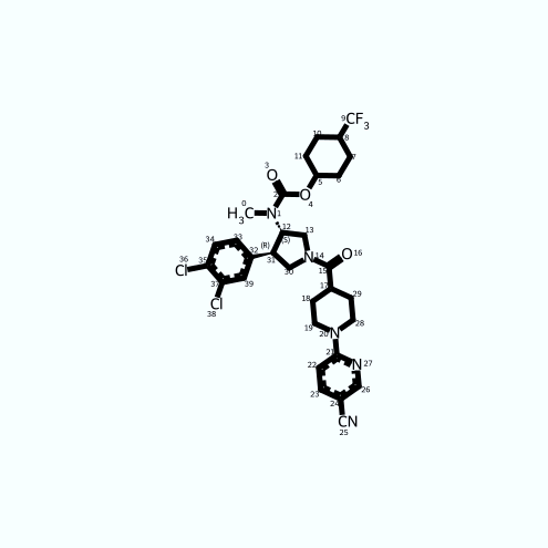 CN(C(=O)OC1CCC(C(F)(F)F)CC1)[C@@H]1CN(C(=O)C2CCN(c3ccc(C#N)cn3)CC2)C[C@H]1c1ccc(Cl)c(Cl)c1